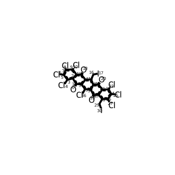 O=c1c2c(Cl)c(Cl)c(Cl)c(Cl)c2c(=O)c2c(CI)c3c(=O)c4c(Cl)c(Cl)c(Cl)c(CI)c4c(=O)c3c(Cl)c12